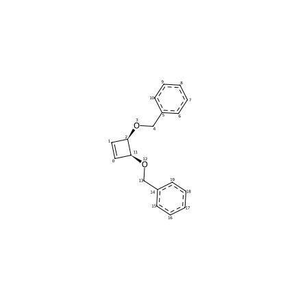 C1=C[C@@H](OCc2ccccc2)[C@H]1OCc1ccccc1